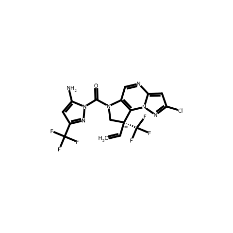 C=C[C@@]1(C(F)(F)F)CN(C(=O)n2nc(C(F)(F)F)cc2N)c2cnc3cc(Cl)nn3c21